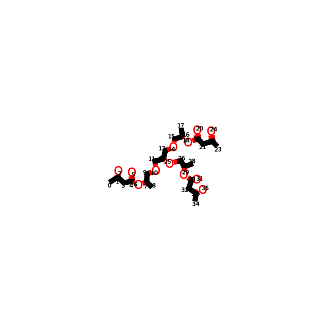 CC(=O)CC(=O)OC(C)COCC(COCC(C)OC(=O)CC(C)=O)OCC(C)OC(=O)CC(C)=O